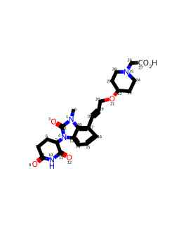 Cn1c(=O)n(C2CCC(=O)NC2=O)c2cccc(C#CCOC3CCN(CC(=O)O)CC3)c21